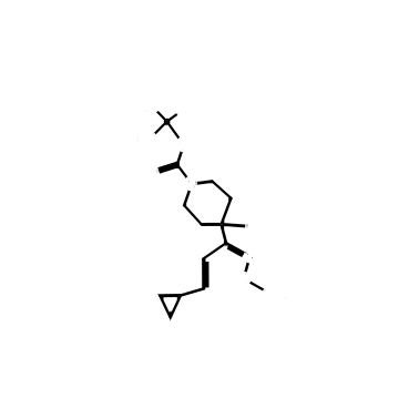 CO/N=C(\C=C\C1CC1)C1(C)CCN(C(=O)OC(C)(C)C)CC1